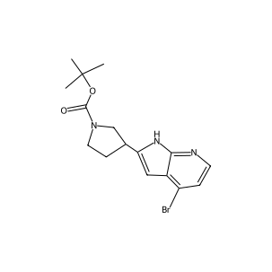 CC(C)(C)OC(=O)N1CCC(c2cc3c(Br)ccnc3[nH]2)C1